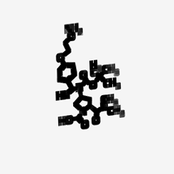 CN(C)C(=O)[C@@H]1C[C@H](N(C(=N)c2ccc(OCCON)cc2)C(=O)OC(C)(C)C)CN1C(=O)O